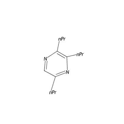 CCCc1cnc(CCC)c(CCC)n1